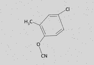 Cc1cc(Cl)ccc1OC#N